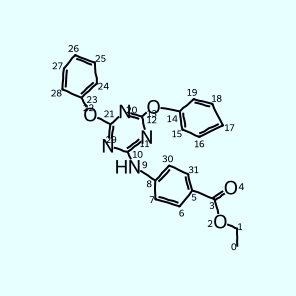 CCOC(=O)c1ccc(Nc2nc(Oc3ccccc3)nc(Oc3ccccc3)n2)cc1